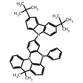 CC(C)(C)c1ccc2c(c1)c1cc(C(C)(C)C)ccc1n2-c1ccc2c(c1)B(c1ccccc1)c1cccc3c1N2c1ccccc1C3(C)C